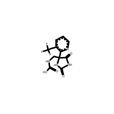 O=C(O)NCC1(c2ncccc2C(F)(F)F)NC(=O)NC1=O